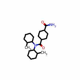 CC1CCCCC1N(C(=O)C1CCC(C(N)=O)CC1)C1CCCCC1C